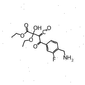 CCOC(=O)C(O)(OCC)C(=C=O)C(=O)c1ccc(CN)c(F)c1